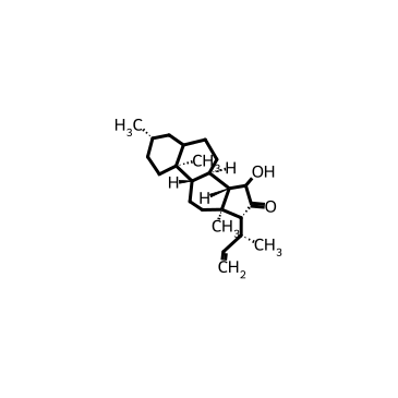 C=C[C@@H](C)[C@H]1C(=O)C(O)[C@H]2[C@@H]3CCC4C[C@@H](C)CC[C@]4(C)[C@H]3CC[C@]12C